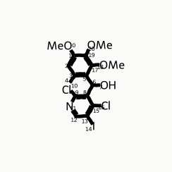 COc1cc(C)c(C(O)c2c(Cl)ncc(I)c2Cl)c(OC)c1OC